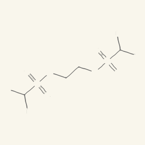 O=S(=O)(OCCOS(=O)(=O)C(F)F)C(F)F